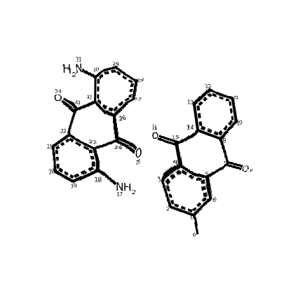 Cc1ccc2c(c1)C(=O)c1ccccc1C2=O.Nc1cccc2c1C(=O)c1cccc(N)c1C2=O